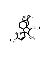 C=C1CC23CC1(O)CCC2C(/C=C\C(C)O)(OC(C)=O)C(C)C3C(=O)O